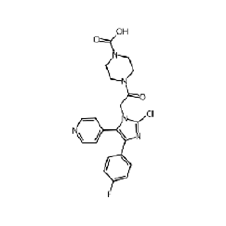 O=C(O)N1CCN(C(=O)Cn2c(Cl)nc(-c3ccc(F)cc3)c2-c2ccncc2)CC1